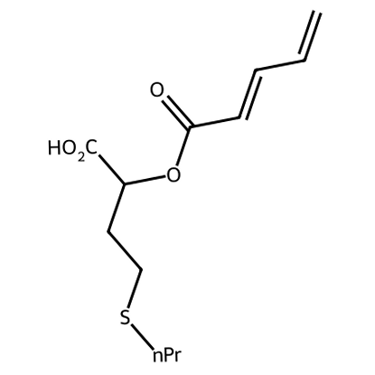 C=CC=CC(=O)OC(CCSCCC)C(=O)O